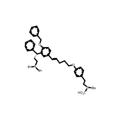 CC(C)N(CC[C@H](c1ccccc1)c1cc(/C=C/CCCOc2ccc(CCN(C(=O)O)C(C)(C)C)cc2)ccc1OCc1ccccc1)C(C)C